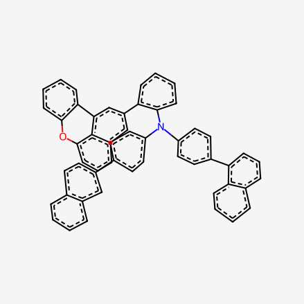 c1ccc2c(c1)Oc1cccc3cc(-c4ccccc4N(c4ccc(-c5ccc6ccccc6c5)cc4)c4ccc(-c5cccc6ccccc56)cc4)cc-2c13